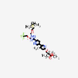 COC(=O)C(C)(C)COc1cc(C)c(-c2ccc(-c3nc(OCC(F)(F)F)n(COCCS(C)(C)C)n3)nc2)cn1